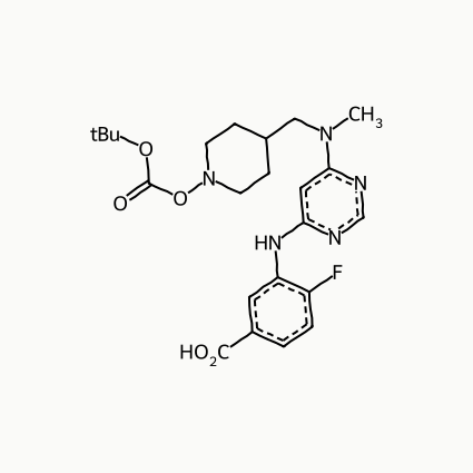 CN(CC1CCN(OC(=O)OC(C)(C)C)CC1)c1cc(Nc2cc(C(=O)O)ccc2F)ncn1